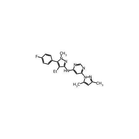 CCc1c(Nc2cc(-n3nc(C)cc3C)ncn2)nn(C)c1-c1ccc(F)cc1